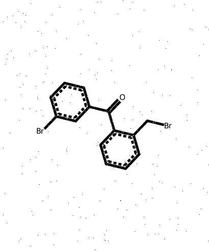 O=C(c1cccc(Br)c1)c1ccccc1CBr